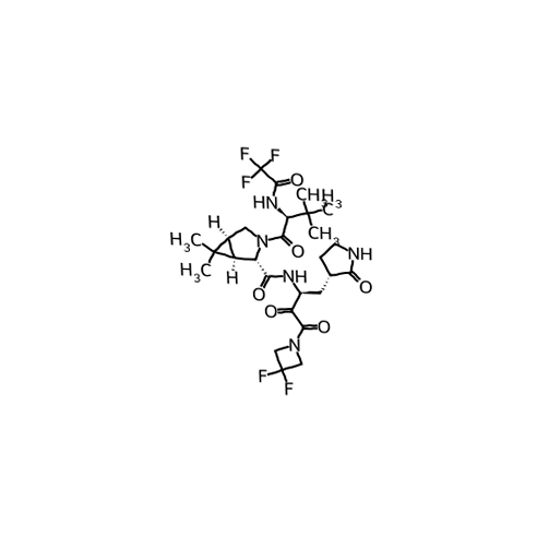 CC(C)(C)[C@H](NC(=O)C(F)(F)F)C(=O)N1C[C@H]2[C@@H]([C@H]1C(=O)N[C@@H](C[C@@H]1CCNC1=O)C(=O)C(=O)N1CC(F)(F)C1)C2(C)C